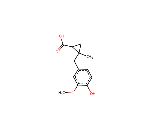 COc1cc(CC2(C)CC2C(=O)O)ccc1O